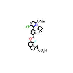 COc1ccc(Cl)c(-c2ccc(COc3ccc4c(c3F)C3(CC4)CC3C(=O)O)cc2[C@@H]2CCCC2(C)C)n1